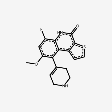 COc1cc(F)c2[nH]c(=O)c3sccc3c2c1C1=CCNCC1